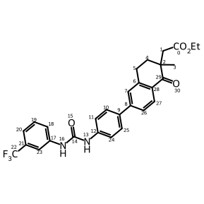 CCOC(=O)CC1(C)CCc2cc(-c3ccc(NC(=O)Nc4cccc(C(F)(F)F)c4)cc3)ccc2C1=O